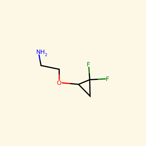 NCCOC1CC1(F)F